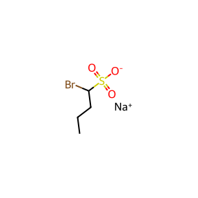 CCCC(Br)S(=O)(=O)[O-].[Na+]